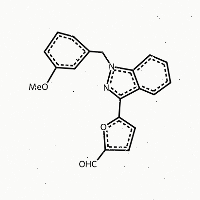 COc1cccc(Cn2nc(-c3ccc(C=O)o3)c3ccccc32)c1